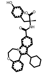 C[C@](Cc1ccc(O)cc1)(NC(=O)c1ccc2c(C3CCCCC3)c3n(c2c1)CCOc1ccccc1-3)C(=O)O